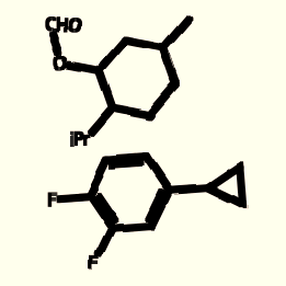 CC1CCC(C(C)C)C(OC=O)C1.Fc1ccc(C2CC2)cc1F